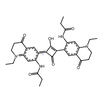 CCC(=O)Nc1cc2c(cc1C1=C(O)/C(=c3\cc4c(cc3NC(=O)CC)=[N+](CC)CCC4=O)C1=O)C(=O)CCN2CC